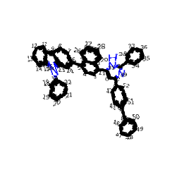 C1=C(c2ccc(-c3ccc4c5ccccc5n(-c5ccccc5)c4c3)c3ccccc23)NC(c2ccccc2)N=C1c1ccc(-c2ccccc2)cc1